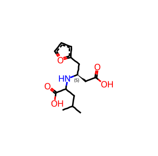 CC(C)CC(N[C@H](CC(=O)O)Cc1ccco1)C(=O)O